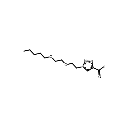 CCCCCOCCOCCn1cc(C(=O)I)nn1